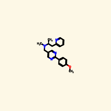 COc1ccc(-c2ncc(CN(C)[C@@H](C)Cc3ccccn3)cn2)cc1